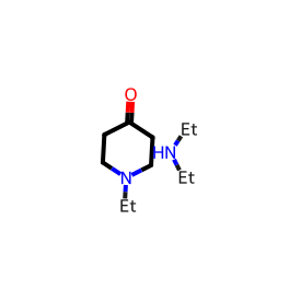 CCN1CCC(=O)CC1.CCNCC